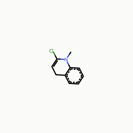 CN1C(Cl)=CCc2ccccc21